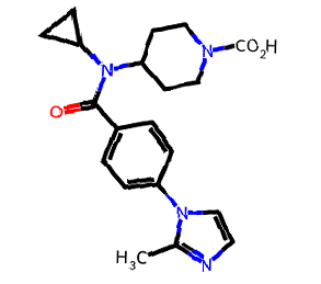 Cc1nccn1-c1ccc(C(=O)N(C2CC2)C2CCN(C(=O)O)CC2)cc1